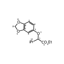 CCOC(=O)C(Oc1ccc2c(c1)OCO2)C(C)C